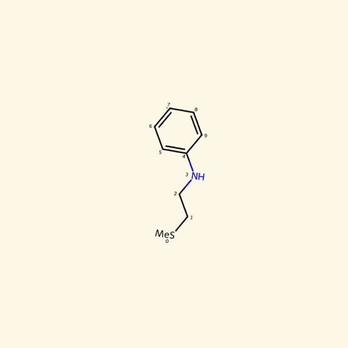 CSCCNc1cc[c]cc1